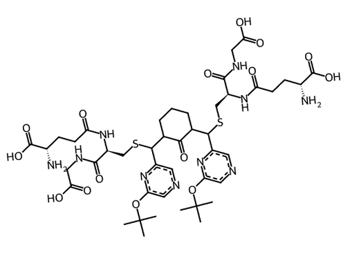 CC(C)(C)Oc1cncc(C(SC[C@H](NC(=O)CC[C@@H](N)C(=O)O)C(=O)NCC(=O)O)C2CCCC(C(SC[C@H](NC(=O)CC[C@H](N)C(=O)O)C(=O)NCC(=O)O)c3cncc(OC(C)(C)C)n3)C2=O)n1